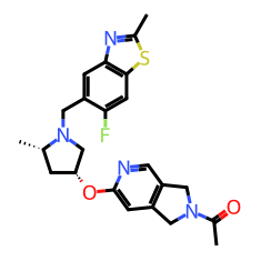 CC(=O)N1Cc2cnc(O[C@@H]3C[C@H](C)N(Cc4cc5nc(C)sc5cc4F)C3)cc2C1